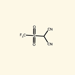 N#CC(C#N)S(=O)(=O)C(F)(F)F